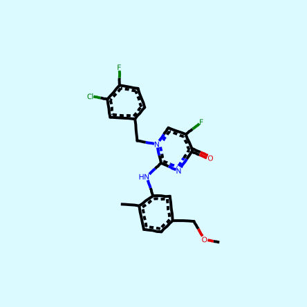 COCc1ccc(C)c(Nc2nc(=O)c(F)cn2Cc2ccc(F)c(Cl)c2)c1